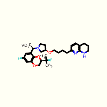 CC(C)(F)[C@H]1COc2cc(F)cc([C@@H](C(=O)O)N3CC[C@@H](OCCCCc4ccc5c(n4)NCCC5)C3)c2O1